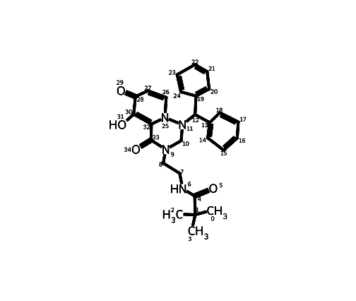 CC(C)(C)C(=O)NCCN1CN(C(c2ccccc2)c2ccccc2)n2ccc(=O)c(O)c2C1=O